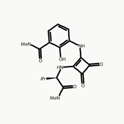 CNC(=O)c1cccc(Nc2c(N[C@@H](C(=O)NC)C(C)C)c(=O)c2=O)c1O